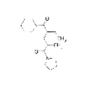 CCC(CC(C)C(=O)N1CCCC1)C(=O)N1CCCCC1